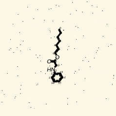 CCCCCC=COC(=O)CNc1ccccc1